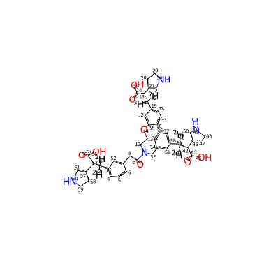 [2H]C([2H])(c1cccc(CC(=O)N(CCOc2cccc(C([2H])([2H])[C@H](C(=O)O)[C@H]3CCNC3)c2)Cc2cccc(C([2H])([2H])[C@H](C(=O)O)[C@H]3CCNC3)c2)c1)[C@H](C(=O)O)[C@H]1CCNC1